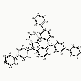 c1ccc(-c2ccc(N(c3ccc(-c4ccccc4)cc3)c3cccc4c3c3ccccc3n4-c3ccc(-c4ccncc4)cc3)cc2)cc1